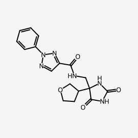 O=C1NC(=O)C(CNC(=O)c2cnn(-c3ccccc3)n2)(C2CCOC2)N1